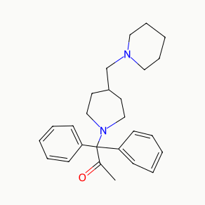 CC(=O)C(c1ccccc1)(c1ccccc1)N1CCC(CN2CCCCC2)CC1